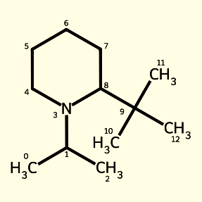 CC(C)N1CCCCC1C(C)(C)C